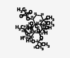 C=C1C(=O)[C@@]23[C@@H]4OC(C)(C)O[C@]25OC[C@]2([C@@H](OS(C)(=O)=O)CCC(C)(C)[C@H]2[C@@H]5O)[C@@H]3CC[C@@H]14